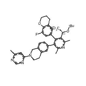 Cc1cc(N2CCc3cc(-c4c(C)nc(C)c([C@H](OC(C)(C)C)C(=O)O)c4-c4cc(F)c5c(c4)CCCO5)ccc3C2)ncn1